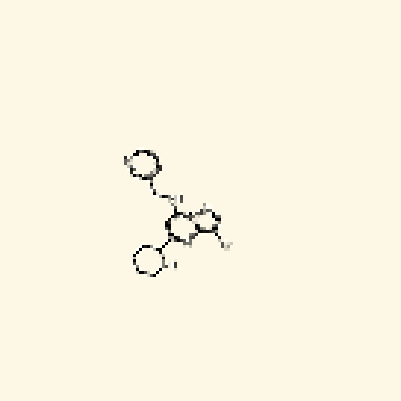 Brc1cnn2c(NCc3cccnc3)cc(C3CCCCN3)nc12